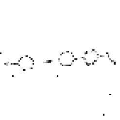 CCCC1CCC(C#CC2CCC(c3ccc(OCC)cc3)CC2)CC1